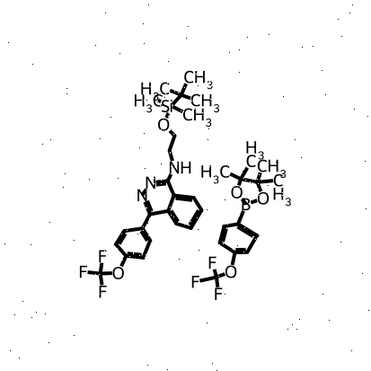 CC(C)(C)[Si](C)(C)OCCNc1nnc(-c2ccc(OC(F)(F)F)cc2)c2ccccc12.CC1(C)OB(c2ccc(OC(F)(F)F)cc2)OC1(C)C